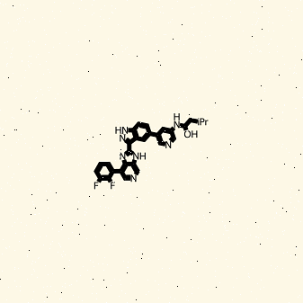 CC(C)CC(O)Nc1cncc(-c2ccc3[nH]nc(-c4nc5c(-c6cccc(F)c6F)cncc5[nH]4)c3c2)c1